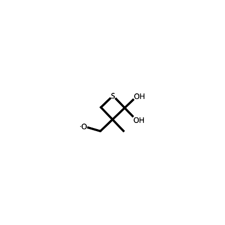 CC1(C[O])CSC1(O)O